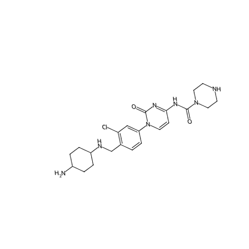 NC1CCC(NCc2ccc(-n3ccc(NC(=O)N4CCNCC4)nc3=O)cc2Cl)CC1